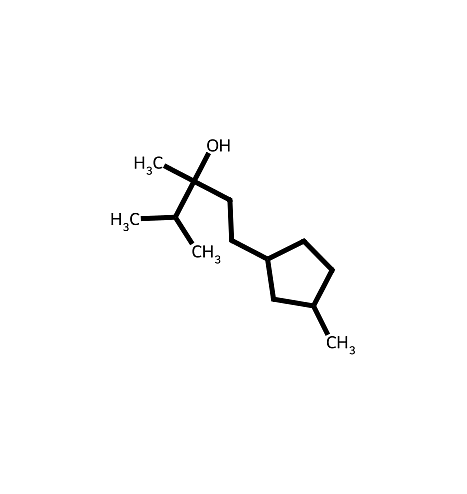 CC1CCC(CCC(C)(O)C(C)C)C1